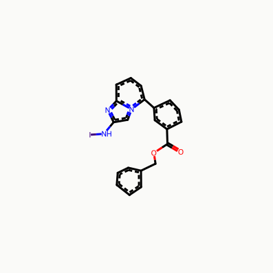 O=C(OCc1ccccc1)c1cccc(-c2cccc3nc(NI)cn23)c1